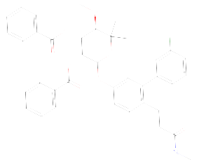 CNC(=O)CCc1ccc(OC2OC(C)(C)[C@H](OC)[C@@H](OC(=O)c3ccccc3)[C@H]2OC(=O)c2ccccc2)cc1-c1cccc(F)c1